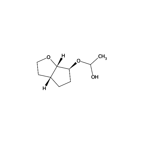 CC(O)O[C@H]1CC[C@@H]2CCO[C@@H]21